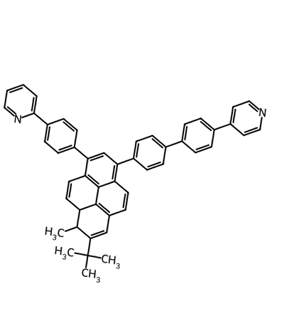 CC1C(C(C)(C)C)=Cc2ccc3c(-c4ccc(-c5ccc(-c6ccncc6)cc5)cc4)cc(-c4ccc(-c5ccccn5)cc4)c4c3c2C1C=C4